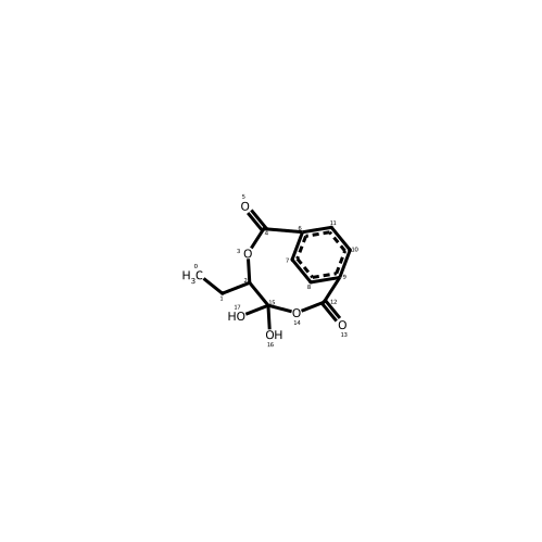 CCC1OC(=O)c2ccc(cc2)C(=O)OC1(O)O